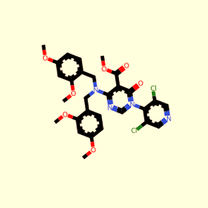 COC(=O)c1c(N(Cc2ccc(OC)cc2OC)Cc2ccc(OC)cc2OC)ncn(-c2c(Cl)cncc2Cl)c1=O